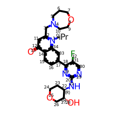 CC(C)n1c(CN2CCCOCC2)cc(=O)c2ccc(-c3nc(N[C@@H]4CCOC[C@H]4O)ncc3F)cc21